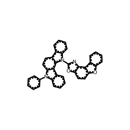 c1ccc(-n2c3ccccc3c3c2ccc2c4ccccc4n(-c4nc5c(ccc6oc7ccccc7c65)o4)c23)cc1